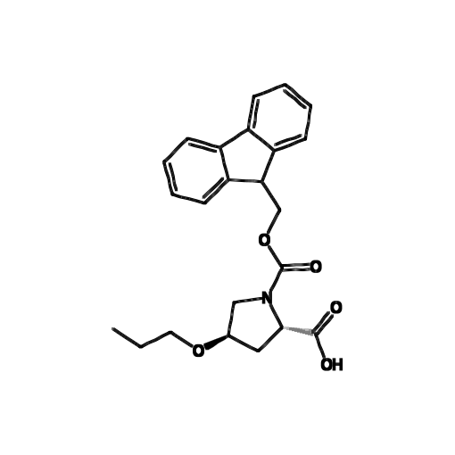 CCCO[C@@H]1C[C@@H](C(=O)O)N(C(=O)OCC2c3ccccc3-c3ccccc32)C1